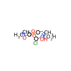 C[C@H](Cc1ccc(S(=O)(=O)c2ccc(C(=O)N(C)C)cc2)cc1)N(C[C@H](O)c1cccc(Cl)c1)C(=O)O